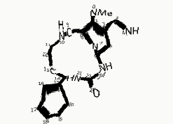 CNc1c(C=N)cc2nc1CNCCCC(c1ccccc1)NC(=O)N2